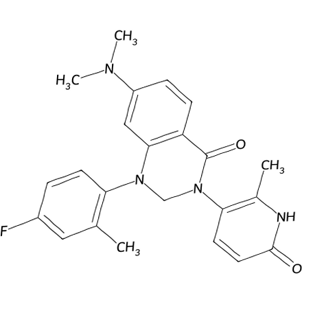 Cc1cc(F)ccc1N1CN(c2ccc(=O)[nH]c2C)C(=O)c2ccc(N(C)C)cc21